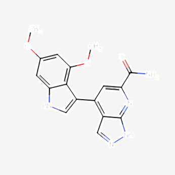 COc1cc(OC)c2c(-c3cc(C(N)=O)nc4[nH]ncc34)c[nH]c2c1